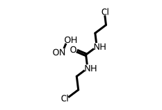 O=C(NCCCl)NCCCl.O=NO